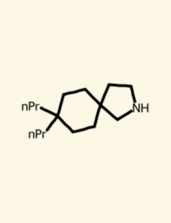 CCCC1(CCC)CCC2(CCNC2)CC1